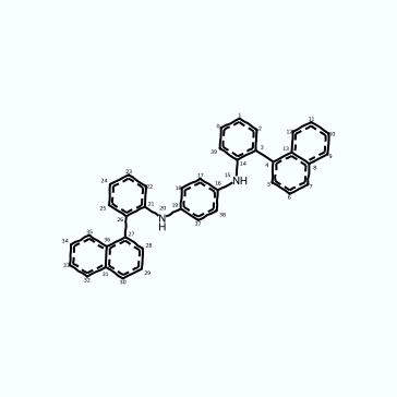 c1ccc(-c2cccc3ccccc23)c(Nc2ccc(Nc3ccccc3-c3cccc4ccccc34)cc2)c1